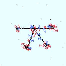 COC[C@@H]1C[C@@H](O)CN1C(=O)CCCCCCCCCCC(=O)N[C@@H]1O[C@H](COCCC(=O)NCCCCNC(=O)CCCCO[C@@H]2O[C@H](CO)[C@H](O)[C@H](O)[C@H]2NC(C)=O)[C@@H](OCCC(=O)NCCCCNCCCCO[C@@H]2O[C@H](CO)[C@H](O)[C@H](O)[C@H]2NC(C)=O)[C@H](OCCC(=O)NCCCCNC(=O)CCCCO[C@@H]2O[C@H](CO)[C@H](O)[C@H](O)[C@H]2NC(C)=O)[C@H]1NC(C)=O